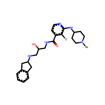 CC(=O)N1CCC(Nc2nccc(C(=O)NCC(O)CNC3Cc4ccccc4C3)c2Cl)CC1